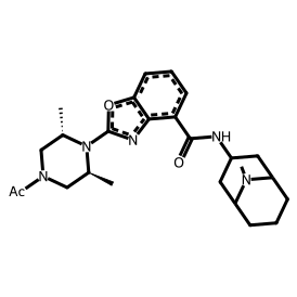 CC(=O)N1C[C@H](C)N(c2nc3c(C(=O)NC4CC5CCCC(C4)N5C)cccc3o2)[C@@H](C)C1